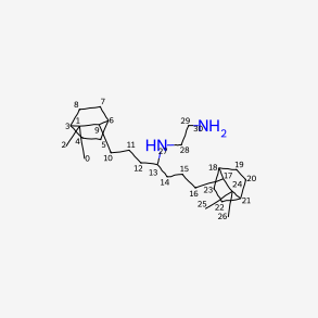 CC1(C)C2CCC(CC2)C1CCCC(CCCC1C2CCC(CC2)C1(C)C)NCCN